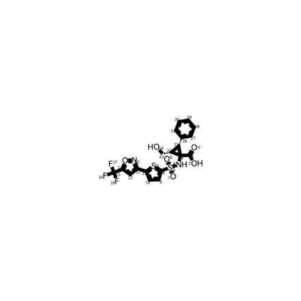 O=C(O)C1(NS(=O)(=O)c2ccc(-c3cc(C(F)(F)F)on3)s2)[C@H](CO)[C@@H]1c1ccccc1